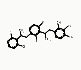 CC(C)c1c(C#N)ccc(CC(C)c2c(F)ccc(CC(C)c3c(Cl)cccc3Cl)c2F)c1C#N